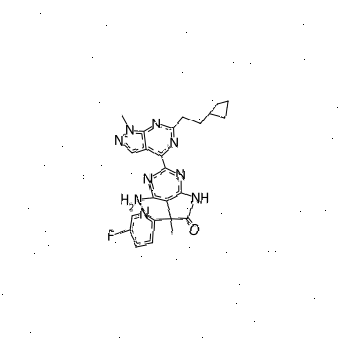 Cn1ncc2c(-c3nc(N)c4c(n3)NC(=O)C4(C)c3ccc(F)cn3)nc(CCC3CCC3)nc21